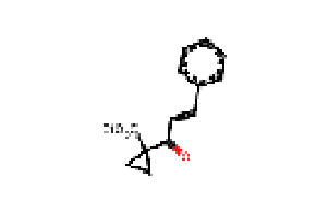 CCOC(=O)C1(C(=O)/C=C/c2ccccc2)CC1